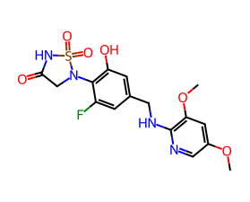 COc1cnc(NCc2cc(O)c(N3CC(=O)NS3(=O)=O)c(F)c2)c(OC)c1